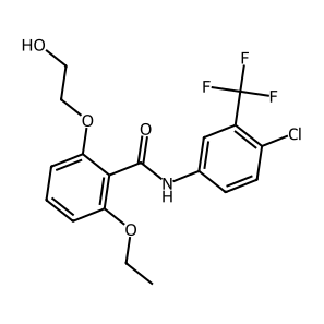 CCOc1cccc(OCCO)c1C(=O)Nc1ccc(Cl)c(C(F)(F)F)c1